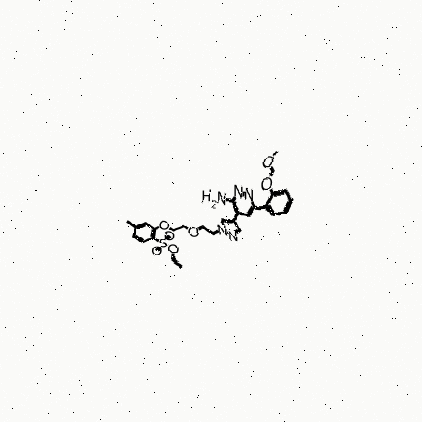 CCOS(=O)(=O)c1ccc(C)cc1OCCOCCn1cc(-c2cc(-c3ccccc3OCOC)nnc2N)cn1